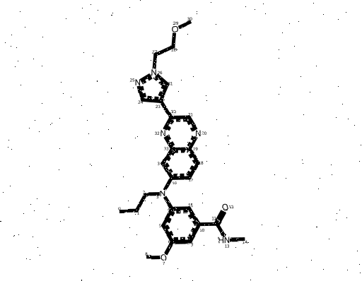 CCCN(c1cc(OC)cc(C(=O)NC)c1)c1ccc2ncc(-c3cnn(CCOC)c3)nc2c1